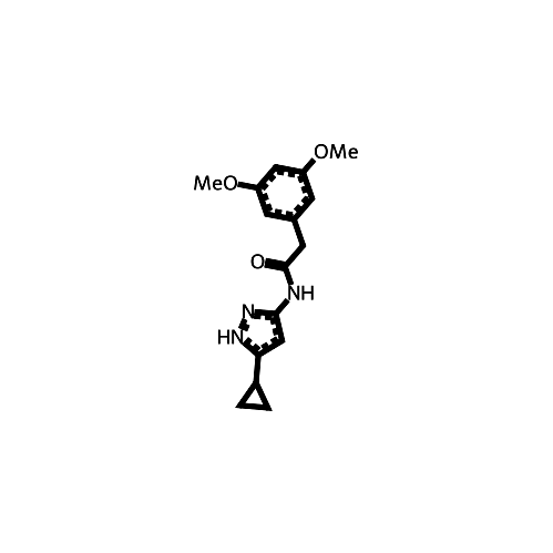 COc1cc(CC(=O)Nc2cc(C3CC3)[nH]n2)cc(OC)c1